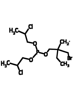 [CH2]C(CC)(CBr)COP(OCC(C)Cl)OCC(C)Cl